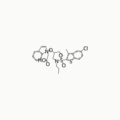 CCCN(CC(CC)O[N+]1(CC(=O)O)C=Cc2ccccc21)S(=O)(=O)c1sc2ccc(Cl)cc2c1C